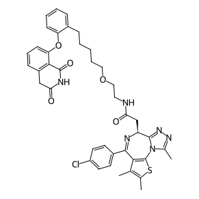 Cc1sc2c(c1C)C(c1ccc(Cl)cc1)=N[C@@H](CC(=O)NCCOCCCCCc1ccccc1Oc1cccc3c1C(=O)NC(=O)C3)c1nnc(C)n1-2